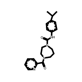 CC(C)c1ccc(NC(=O)N2CCCN(C(=O)c3ccccn3)CC2)cc1